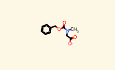 CN(CC([O])=O)C(=O)OCc1ccccc1